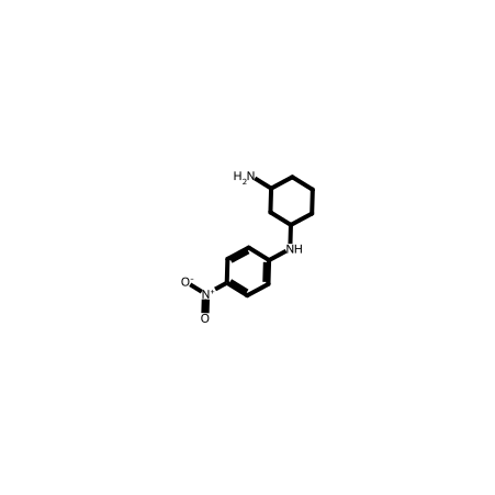 NC1CCCC(Nc2ccc([N+](=O)[O-])cc2)C1